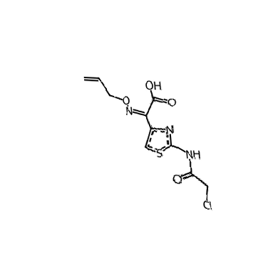 C=CCON=C(C(=O)O)c1csc(NC(=O)CCl)n1